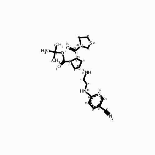 CC(C)(C)OC(=O)N1C[C@@H](NCCNc2ccc(C#N)cn2)C[C@H]1C(=O)N1CCSC1